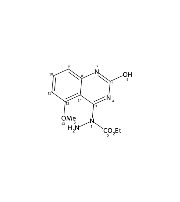 CCOC(=O)N(N)c1nc(O)nc2cccc(OC)c12